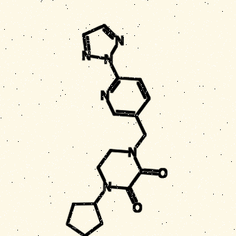 O=C1C(=O)N(C2CCCC2)CCN1Cc1ccc(-n2nccn2)nc1